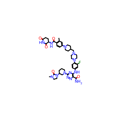 Cc1cc(N2CCC(CN3CCN(c4ccc(Nc5nc(N6CCCC(N7CCN(C)C7=O)C6)nnc5C(N)=O)cc4F)CC3)CC2)ccc1C(=O)NC1CCC(=O)NC1=O